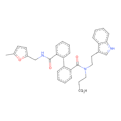 Cc1ccc(CNC(=O)c2ccccc2-c2ccccc2C(=O)N(CCC(=O)O)CCc2c[nH]c3ccccc23)o1